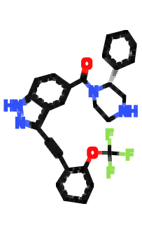 O=C(c1ccc2[nH]nc(C#Cc3ccccc3OC(F)(F)F)c2c1)N1CCNC[C@H]1c1ccccc1